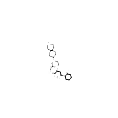 Oc1ccccc1-c1cc2c(nn1)NC[C@H]1CN(C3CCC4(CCNCC4)CC3)CCN21